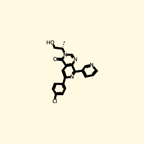 C[C@@H](CO)n1cnc2c(-c3cccnc3)nc(-c3ccc(Cl)cc3)cc2c1=O